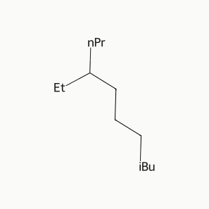 [CH2]CCC(CC)CCCC(C)C[CH2]